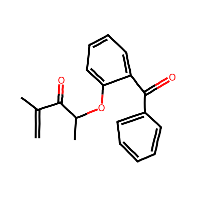 C=C(C)C(=O)C(C)Oc1ccccc1C(=O)c1ccccc1